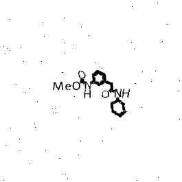 COC(=O)Nc1cccc(CC(=O)NC2CCCCC2)c1